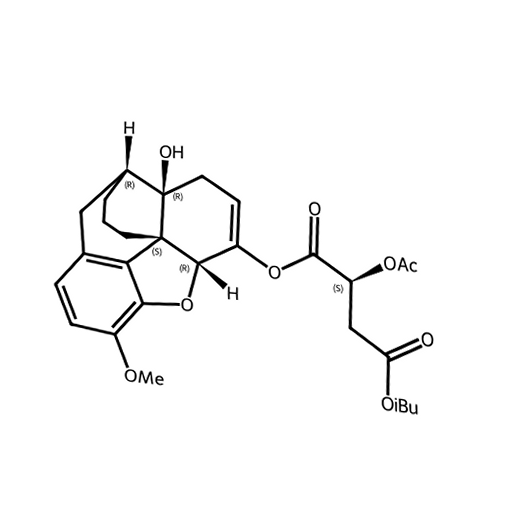 COc1ccc2c3c1O[C@H]1C(OC(=O)[C@H](CC(=O)OCC(C)C)OC(C)=O)=CC[C@@]4(O)[C@H](CCC[C@]314)C2